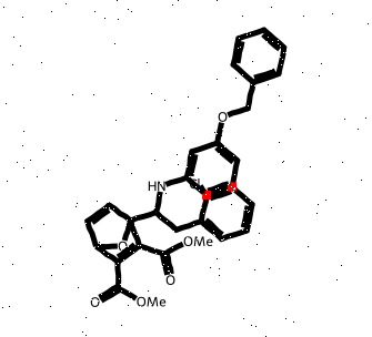 COC(=O)C1=C(C(=O)OC)C2(C(Cc3ccccc3Cl)Nc3cccc(OCc4ccccc4)c3)C=CC1O2